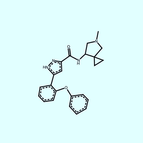 CN1CC(NC(=O)c2cc(-c3ccccc3Oc3ccccc3)[nH]n2)C2(CC2)C1